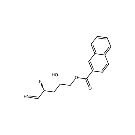 N=C[C@@H](F)C[C@H](O)COC(=O)c1ccc2ccccc2c1